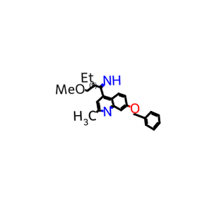 CC[C@H](COC)C(=N)c1cc(C)nc2cc(OCc3ccccc3)ccc12